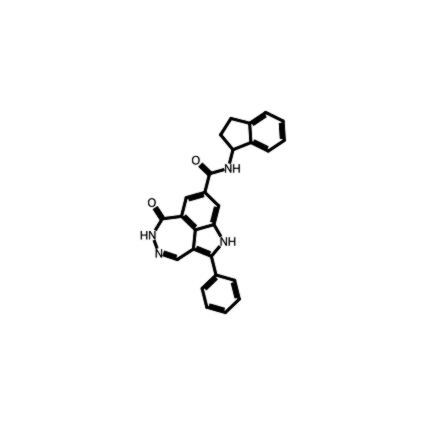 O=C(NC1CCc2ccccc21)c1cc2c3c(c(-c4ccccc4)[nH]c3c1)C=NNC2=O